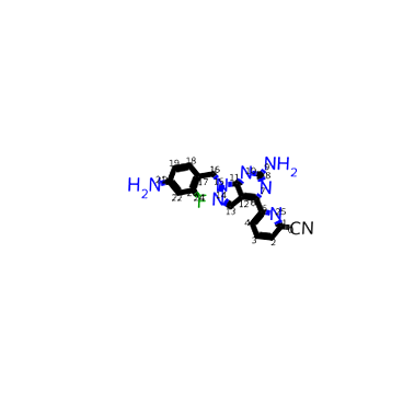 N#Cc1cccc(-c2nc(N)nc3c2cnn3Cc2ccc(N)cc2F)n1